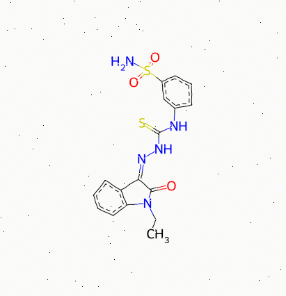 CCN1C(=O)/C(=N\NC(=S)Nc2cccc(S(N)(=O)=O)c2)c2ccccc21